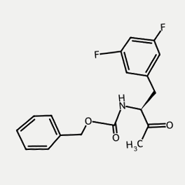 CC(=O)[C@H](Cc1cc(F)cc(F)c1)NC(=O)OCc1ccccc1